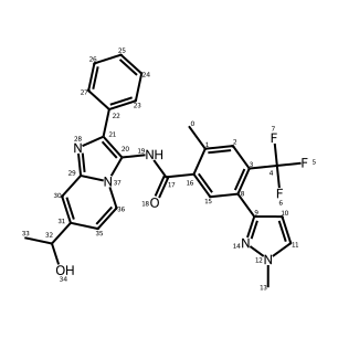 Cc1cc(C(F)(F)F)c(-c2ccn(C)n2)cc1C(=O)Nc1c(-c2ccccc2)nc2cc(C(C)O)ccn12